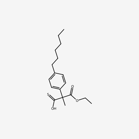 CCCCCCc1ccc(C(C)(C(=O)OCC)C(O)=S)cc1